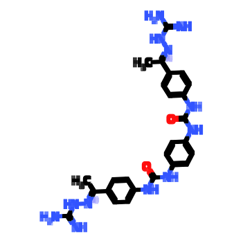 C/C(=N\NC(=N)N)c1ccc(NC(=O)Nc2ccc(NC(=O)Nc3ccc(/C(C)=N/NC(=N)N)cc3)cc2)cc1